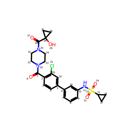 O=C(c1ccc(-c2cccc(NS(=O)(=O)C3CC3)c2)cc1Cl)N1CCN(C(=O)C2(O)CC2)CC1